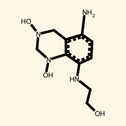 Nc1ccc(NCCO)c2c1CN(O)CN2O